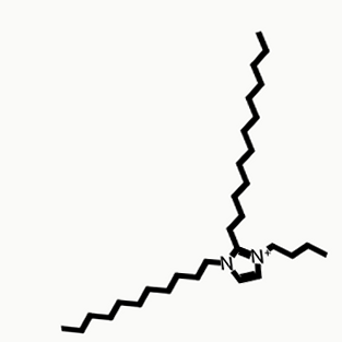 CCCCCCCCCCCCCc1n(CCCCCCCCCCC)cc[n+]1CCCC